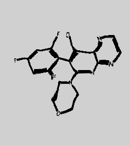 Fc1cc(F)c(-c2c(N3CCOCC3)nc3nccnc3c2Cl)c(F)c1